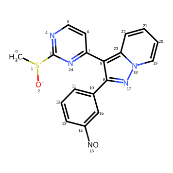 C[S+]([O-])c1nccc(-c2c(-c3cccc(N=O)c3)nn3ccccc23)n1